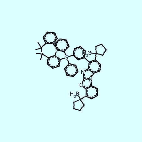 BC1(c2ccc3c(nc4oc5c(C6(B)CCCC6)cccc5n43)c2-c2cccc(S(c3ccccc3)(c3ccccc3)c3cccc4c3Sc3ccccc3C(C)(C)C4(C)C)c2)CCCC1